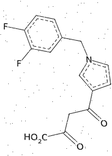 O=C(O)C(=O)CC(=O)c1ccn(Cc2ccc(F)c(F)c2)c1